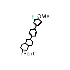 CCCCCC1CCC2CC(c3ccc(-c4ccc(OC)c(F)c4)cc3)CCC2C1